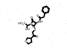 O=C(Cc1ccccc1)N[C@@H]1C(=O)N(C(O)C(=O)O)[C@@H]1SCC(=O)C1CCOC1